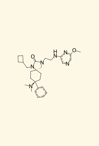 COc1cncc(NCCN2C[C@]3(CC[C@](c4ccccc4)(N(C)C)CC3)N(CC3CCC3)C2=O)n1